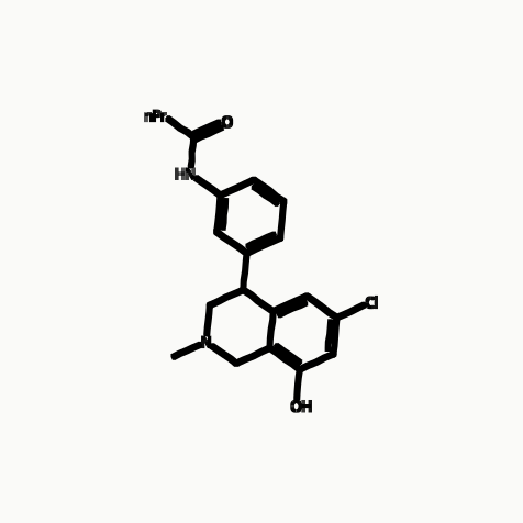 CCCC(=O)Nc1cccc(C2CN(C)Cc3c(O)cc(Cl)cc32)c1